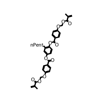 C=C(C)C(=O)OCOc1ccc(C(=O)Oc2ccc(OC(=O)c3ccc(OCOC(=O)C(=C)C)cc3)c(CCCCC)c2)cc1